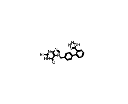 CCc1nc2ncn(Cc3ccc(-c4ccccc4-c4nnn[nH]4)cc3)c2c(=O)[nH]1